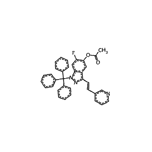 CC(=O)Oc1cc2c(/C=C/c3cccnc3)nn(C(c3ccccc3)(c3ccccc3)c3ccccc3)c2cc1F